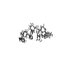 NC1=NS(O)(O)Nc2cccc(OCC3CCCN(C(=O)c4ccnc(-n5ccnc5)c4)C3)c21